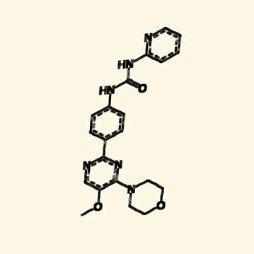 COc1cnc(-c2ccc(NC(=O)Nc3ccccn3)cc2)nc1N1CCOCC1